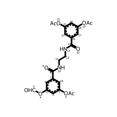 CC(=O)Oc1cc(OC=O)cc(C(=O)NCCNC(=O)c2cc(OC(C)=O)cc(OC(C)=O)c2)c1